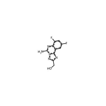 Nc1nc2c(F)cc(F)cc2c2nc(CO)nn12